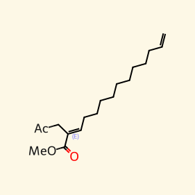 C=CCCCCCCCCC/C=C(\CC(C)=O)C(=O)OC